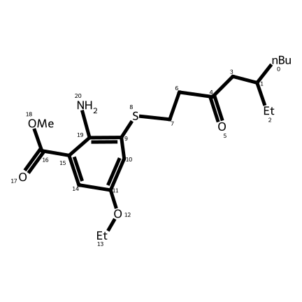 CCCCC(CC)CC(=O)CCSc1cc(OCC)cc(C(=O)OC)c1N